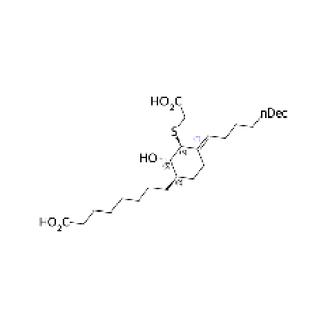 CCCCCCCCCCCCC/C=C1\CC[C@@H](CCCCCCCC(=O)O)[C@H](O)[C@H]1SCC(=O)O